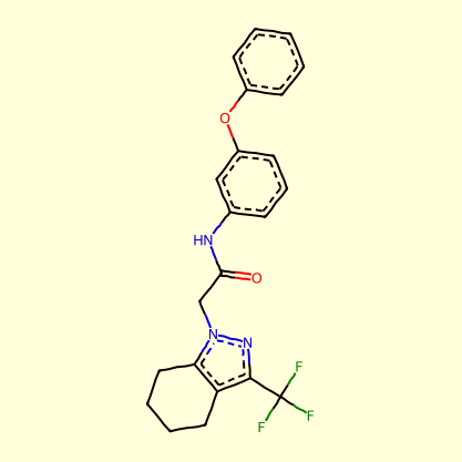 O=C(Cn1nc(C(F)(F)F)c2c1CCCC2)Nc1cccc(Oc2ccccc2)c1